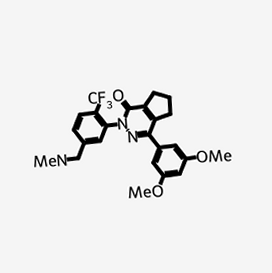 CNCc1ccc(C(F)(F)F)c(-n2nc(-c3cc(OC)cc(OC)c3)c3c(c2=O)CCC3)c1